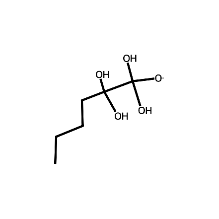 CCCCC(O)(O)C([O])(O)O